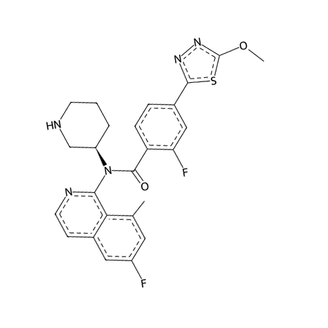 COc1nnc(-c2ccc(C(=O)N(c3nccc4cc(F)cc(C)c34)[C@@H]3CCCNC3)c(F)c2)s1